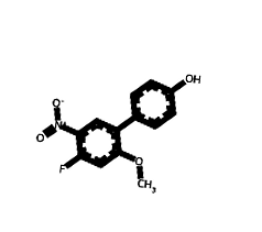 COc1cc(F)c([N+](=O)[O-])cc1-c1ccc(O)cc1